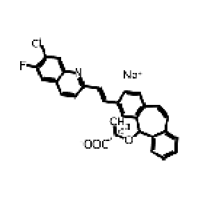 C[C@H](OC1c2ccccc2C=Cc2ccc(C=Cc3ccc4cc(F)c(Cl)cc4n3)cc21)C(=O)[O-].[Na+]